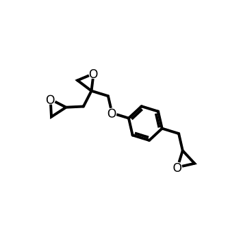 c1cc(OCC2(CC3CO3)CO2)ccc1CC1CO1